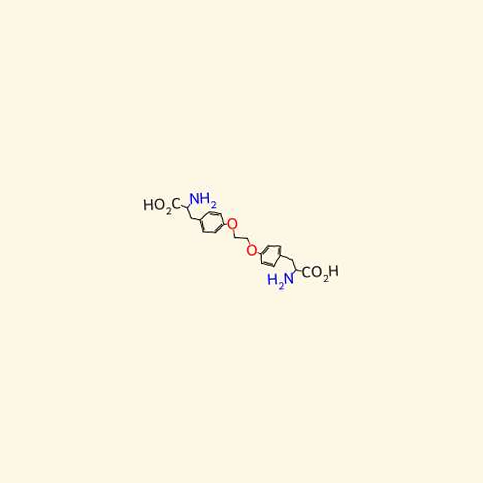 NC(Cc1ccc(OCCOc2ccc(CC(N)C(=O)O)cc2)cc1)C(=O)O